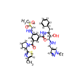 CCn1cc(CNC[C@@H](O)[C@H](Cc2ccccc2)NC(=O)c2cc(NCS(C)(=O)=O)cc(C(=O)N3CCC[C@@H]3c3nc(C)cs3)c2)cn1